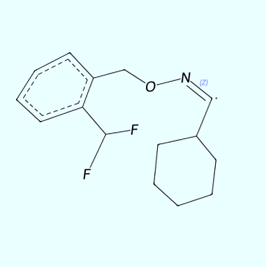 FC(F)c1ccccc1CO/N=[C]\C1CCCCC1